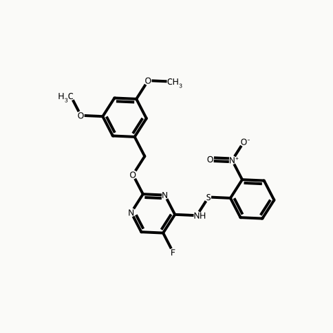 COc1cc(COc2ncc(F)c(NSc3ccccc3[N+](=O)[O-])n2)cc(OC)c1